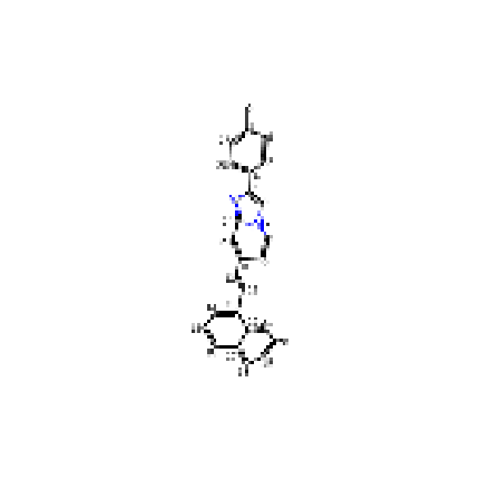 Cc1ccc(-c2cn3ccc(/C=C/c4cccc5ccccc45)cc3n2)cc1